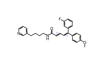 COc1ccc(/C(=C/C=C/C(=O)NCCCCc2cccnc2)c2cccc(F)c2)cc1